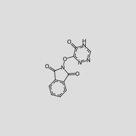 O=C1c2ccccc2C(=O)N1Oc1nnc[nH]c1=O